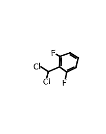 Fc1cccc(F)c1C(Cl)Cl